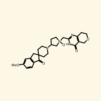 COc1ccc2c(c1)CC1(CCN(C3CC[N+]([O-])(Cc4nc5c(c(=O)[nH]4)COCC5)C3)CC1)C2=O